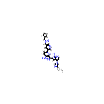 Cc1cn(-c2ccnc3[nH]c(-c4n[nH]c5ccc(-c6cncc(CNCC7CCCC7)c6)nc45)cc23)cn1